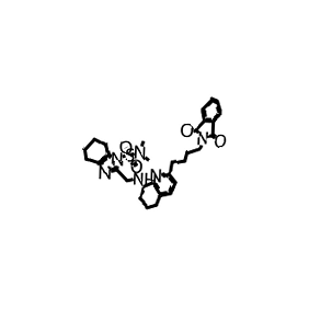 CN(C)S(=O)(=O)n1c(CNC2CCCc3ccc(CCCCN4C(=O)c5ccccc5C4=O)nc32)nc2c1CCCC2